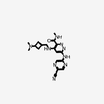 CNC(=O)c1nnc(Nc2cnc(C#N)cn2)cc1NCC1CC(N(C)C)C1